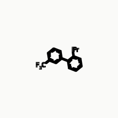 CC(C)c1ccccc1-c1cccc(C(F)(F)F)c1